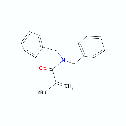 C=C(CCCC)C(=O)N(Cc1ccccc1)Cc1ccccc1